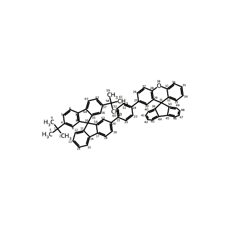 CC(C)(C)c1ccc2c(c1)C1(c3ccccc3-c3ccc(-c4ccc(-c5ccc6c(c5)C5(c7ccccc7O6)c6ccccc6-c6ccccc65)cc4)cc31)c1cc(C(C)(C)C)ccc1-2